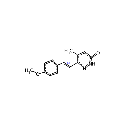 COc1ccc(/C=C/c2n[nH]c(=O)cc2C)cc1